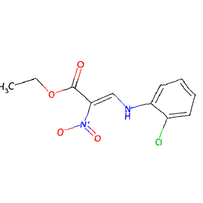 CCOC(=O)C(=CNc1ccccc1Cl)[N+](=O)[O-]